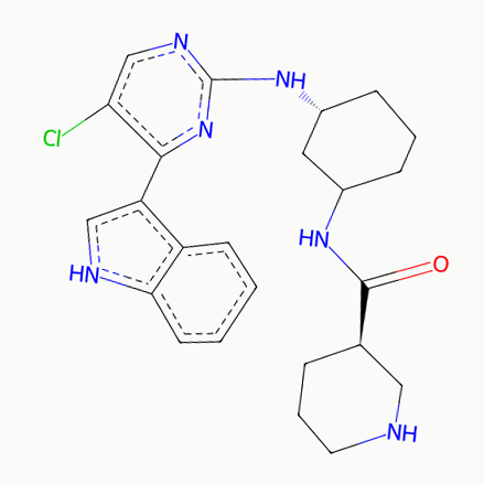 O=C(NC1CCC[C@@H](Nc2ncc(Cl)c(-c3c[nH]c4ccccc34)n2)C1)[C@@H]1CCCNC1